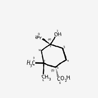 CC(C)[C@@]1(O)CC[C@H](C(=O)O)C(C)(C)C1